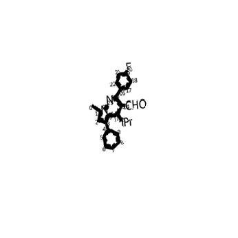 Cc1cc(-c2ccccc2)c2c(C(C)C)c(C=O)c(-c3ccc(F)cc3)nn12